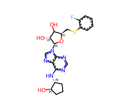 OC1[C@@H](O)[C@H](n2cnc3c(N[C@@H]4CCC[C@H]4O)ncnc32)O[C@@H]1CSc1ccccc1F